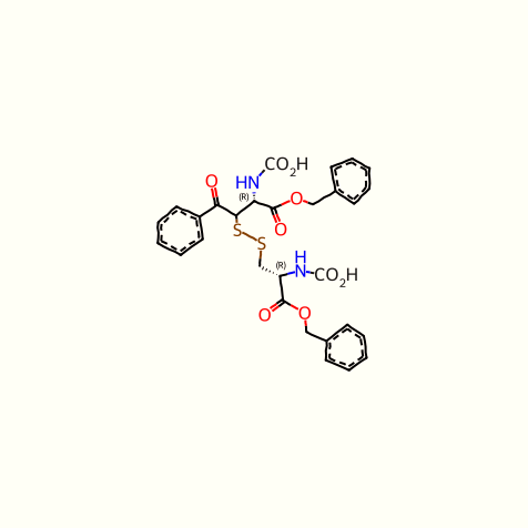 O=C(O)N[C@@H](CSSC(C(=O)c1ccccc1)[C@H](NC(=O)O)C(=O)OCc1ccccc1)C(=O)OCc1ccccc1